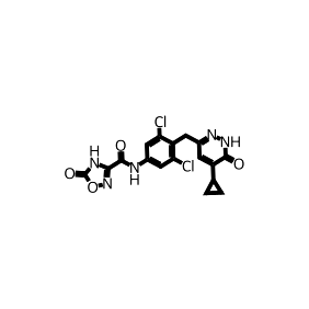 O=C(Nc1cc(Cl)c(Cc2cc(C3CC3)c(=O)[nH]n2)c(Cl)c1)c1noc(=O)[nH]1